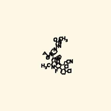 Cc1nc2c(F)c(-c3cccc(Cl)c3Cl)c(CCC#N)cc2c2c1cc(C1C3CC(CN(c4cc(=O)n(C)cn4)C3)N1C(=O)C1CC1)n2C1C2CNC1C2